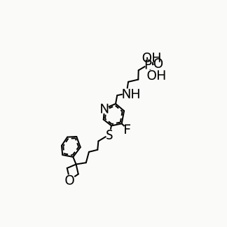 O=P(O)(O)CCCNCc1cc(F)c(SCCCCC2(c3ccccc3)COC2)cn1